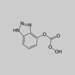 O=C(OO)Oc1cccc2[nH]nnc12